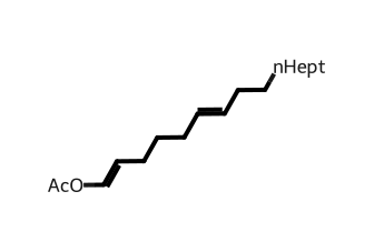 CCCCCCCCC/C=C/CCC/C=C/OC(C)=O